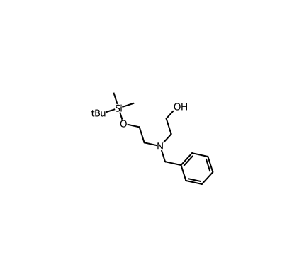 CC(C)(C)[Si](C)(C)OCCN(CCO)Cc1ccccc1